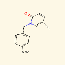 CC(=O)Nc1ccc(Cn2cc(C)ccc2=O)cc1